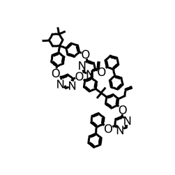 C=CCc1cc(C(C)(C)c2ccc(Oc3cc(Oc4ccccc4-c4ccccc4)ncn3)c(CC=C)c2)ccc1Oc1cc(Oc2ccc(C3(c4ccc(Oc5cc(Oc6ccccc6-c6ccccc6)ncn5)cc4)CC(C)CC(C)(C)C3)cc2)ncn1